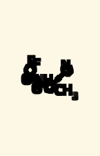 Cc1ccc(C(=O)Nc2coc3c2CC(F)(F)CC3)cc1C#Cc1cccnc1